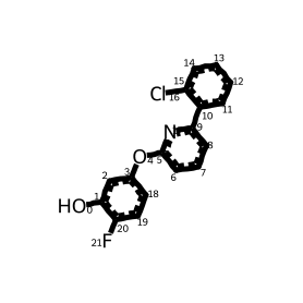 Oc1cc(Oc2cccc(-c3ccccc3Cl)n2)ccc1F